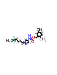 Cc1ccc(C)c(COC(=O)Nc2cnn(CCCCC(C)(F)F)c2)c1